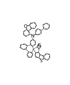 c1ccc(-c2ccc(N(c3ccc4c(c3)-c3ccccc3-c3ccccc3C43c4ccccc4-c4c3ccc3sc5ccccc5c43)c3cccc4oc5ccccc5c34)cc2)cc1